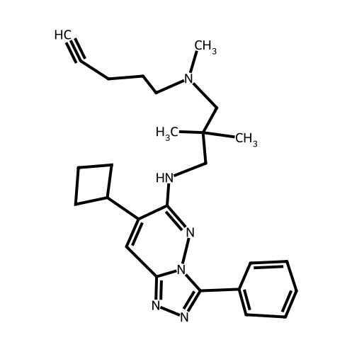 C#CCCCN(C)CC(C)(C)CNc1nn2c(-c3ccccc3)nnc2cc1C1CCC1